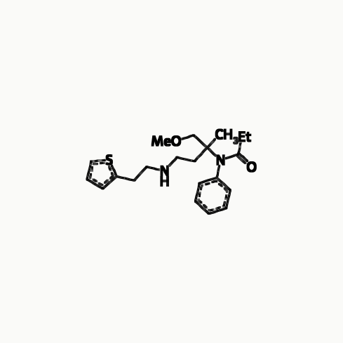 CCC(=O)N(c1ccccc1)C(C)(CCNCCc1cccs1)COC